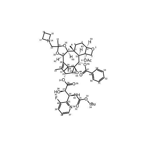 CC(=O)O[C@@]12CO[C@@H]1CC[C@@]1(C)[C@@H]3OC(C)(CN4CCC4)O[C@@H]3C3=C(C)[C@@H](OC(=O)[C@H](O)[C@@H](NC(=O)OC(C)(C)C)c4ncccc4F)C[C@@](O)([C@@H](OC(=O)c4ccccc4)[C@@H]12)C3(C)C